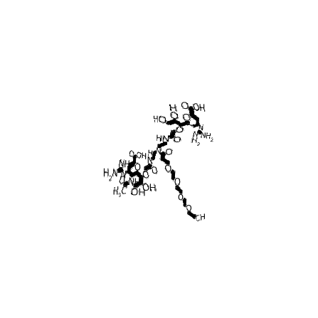 C#CCOCCOCCOCCOCCC(=O)N(CCNC(=O)CO[C@H]([C@H](O)CO)[C@H]1C[C@@H](N=C(N)N)C=C(C(=O)O)O1)CCNC(=O)CO[C@@H]([C@@H]1OC(C(=O)O)=C[C@H](N=C(N)N)[C@H]1NC(C)=O)[C@H](O)CO